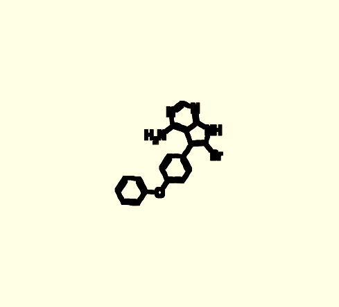 Nc1ncnc2[nH]c(Br)c(-c3ccc(Oc4ccccc4)cc3)c12